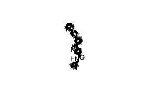 O=C(NCc1cccnc1)c1ccc2c(c1)ncn2-c1cccc(N2CCN(c3ncccn3)CC2)c1